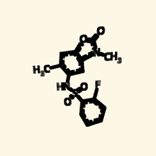 Cc1cc2oc(=O)n(C)c2cc1NS(=O)(=O)c1ccccc1F